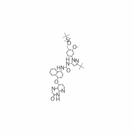 COc1cc(-n2nc(C(C)(C)C)cc2NC(=O)Nc2ccc(Oc3ccnc4[nH]c(=O)cnc34)c3ccccc23)ccc1CO[Si](C)(C)C(C)(C)C